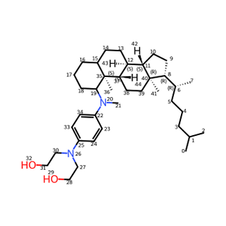 CC(C)CCC[C@@H](C)[C@H]1CC[C@H]2[C@@H]3CCC4CCCC(N(C)c5ccc(N(CCO)CCO)cc5)[C@]4(C)[C@H]3CC[C@]12C